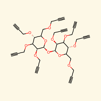 C#CCOCC1O[C@@H](O[C@@H]2OC(COCC#C)[C@@H](OCC#C)C(OCC#C)[C@@H]2OCC#C)[C@@H](OCC#C)C(OCC#C)[C@@H]1OCC#C